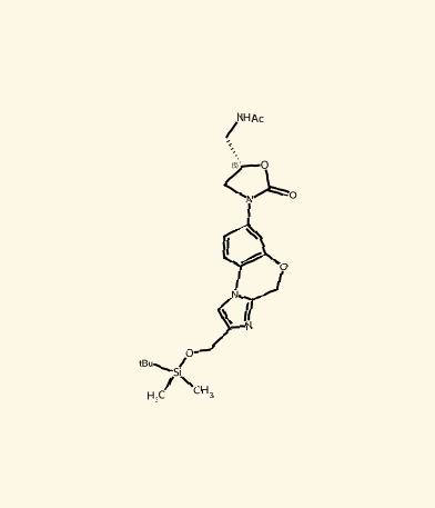 CC(=O)NC[C@H]1CN(c2ccc3c(c2)OCc2nc(CO[Si](C)(C)C(C)(C)C)cn2-3)C(=O)O1